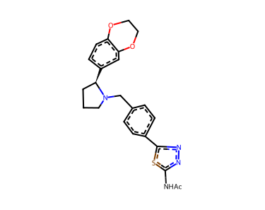 CC(=O)Nc1nnc(-c2ccc(CN3CCC[C@H]3c3ccc4c(c3)OCCO4)cc2)s1